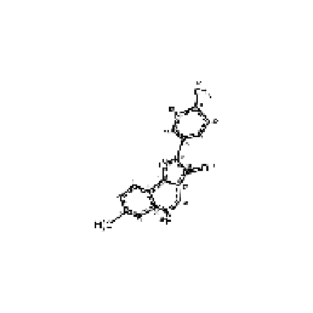 Cc1ccc2c3nn(-c4ccc(C)nc4)c(=O)c-3c[nH]c2c1